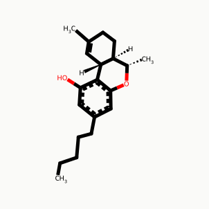 CCCCCc1cc(O)c2c(c1)O[C@@H](C)[C@@H]1CCC(C)=C[C@@H]21